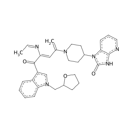 C=C(/C=C(\N=C/C)C(=O)c1cn(CC2CCCO2)c2ccccc12)N1CCC(n2c(=O)[nH]c3ncccc32)CC1